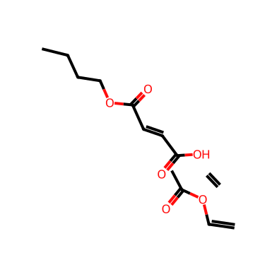 C=C.C=COC(C)=O.CCCCOC(=O)C=CC(=O)O